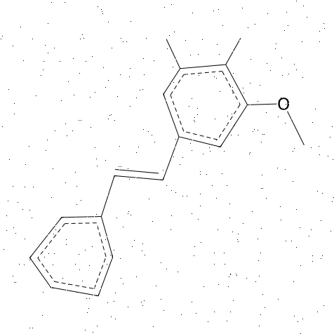 COc1cc(/C=C/c2ccccc2)cc(C)c1C